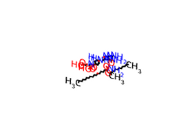 CCCCCCCCCCCCCCCCC(OC(C)CCCCCCCCCC)C(N)=O.Nc1nc2ncc(CNc3ccc(C(=O)N[C@@H](CCC(=O)O)C(=O)O)cc3)nc2c(=O)[nH]1